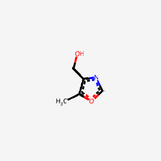 Cc1o[c]nc1CO